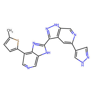 Cc1ccc(-c2cncc3[nH]c(-c4n[nH]c5cnc(-c6cn[nH]c6)cc45)nc23)s1